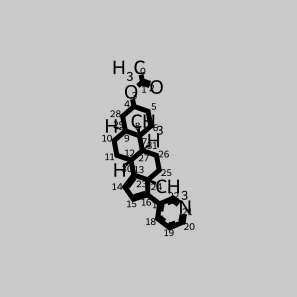 CC(=O)OC1CC[C@@]2(C)[C@@H](CC[C@H]3C4=CC=C(c5cccnc5)[C@@]4(C)CC[C@@H]32)C1